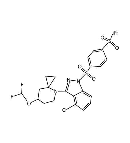 CC(C)S(=O)(=O)c1ccc(S(=O)(=O)n2nc(N3CCC(OC(F)F)CC34CC4)c3c(Cl)cccc32)cc1